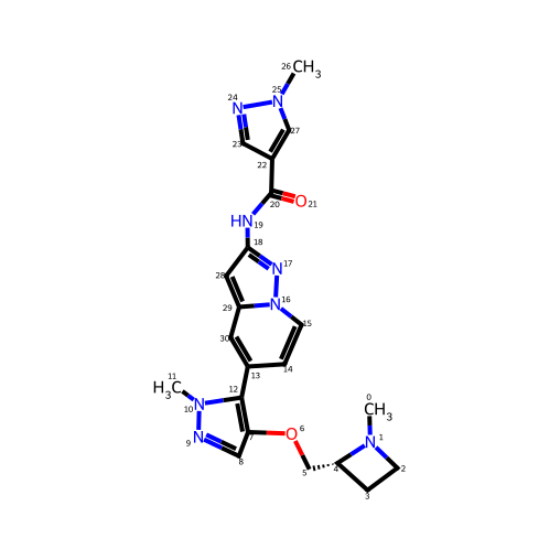 CN1CC[C@@H]1COc1cnn(C)c1-c1ccn2nc(NC(=O)c3cnn(C)c3)cc2c1